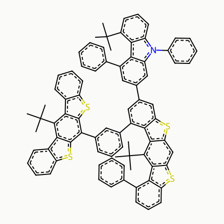 CC(C)(C)c1c2c(sc3ccccc32)c(-c2cccc(-c3cc(-c4cc(-c5ccccc5)c5c6c(C(C)(C)C)cccc6n(-c6ccccc6)c5c4)cc4sc5cc6sc7cccc(-c8ccccc8)c7c6c(C(C)(C)C)c5c34)c2)c2sc3ccccc3c12